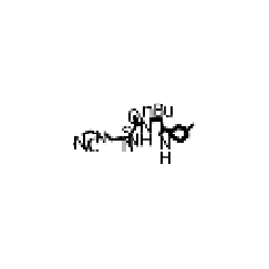 CCCCC(Cc1c[nH]c2ccc(C)cc12)NC(=O)c1nnc(CCN2CCN(C)CC2)s1